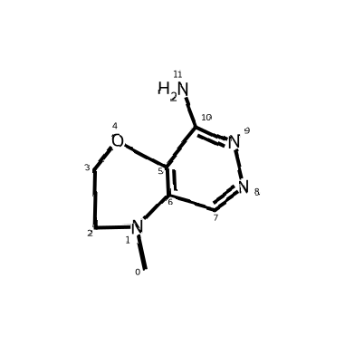 CN1CCOc2c1cnnc2N